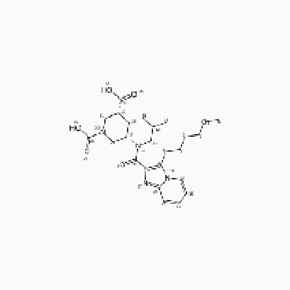 COCCCCc1c(C(=O)N(CC(C)C)[C@H]2C[C@@H](C(=O)O)CN(C(=O)O)C2)nc2ccccn12